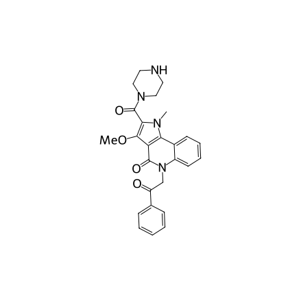 COc1c(C(=O)N2CCNCC2)n(C)c2c1c(=O)n(CC(=O)c1ccccc1)c1ccccc21